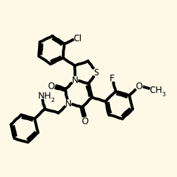 COc1cccc(-c2c3n(c(=O)n(CC(N)c4ccccc4)c2=O)C(c2ccccc2Cl)CS3)c1F